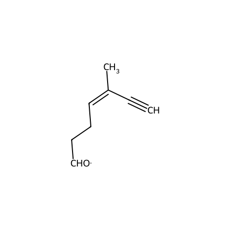 C#CC(C)=CCC[C]=O